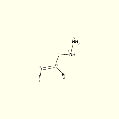 NNCC(Br)=CF